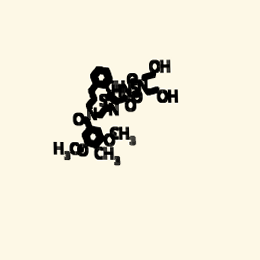 COc1cc(C(=O)N(CCCc2ccccc2)Cc2nc(C(=O)NS(=O)(=O)N(CCO)CCO)c(C)s2)cc(OC)c1C